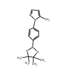 Cc1ccnn1-c1ccc(B2OC(C)(C)C(C)(C)O2)cc1